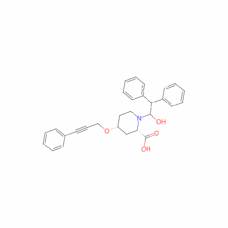 O=C(O)[C@@H]1C[C@H](OCC#Cc2ccccc2)CCN1C(O)C(c1ccccc1)c1ccccc1